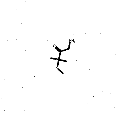 CSC(C)(C)C(=O)CN